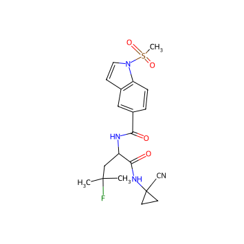 CC(C)(F)CC(NC(=O)c1ccc2c(ccn2S(C)(=O)=O)c1)C(=O)NC1(C#N)CC1